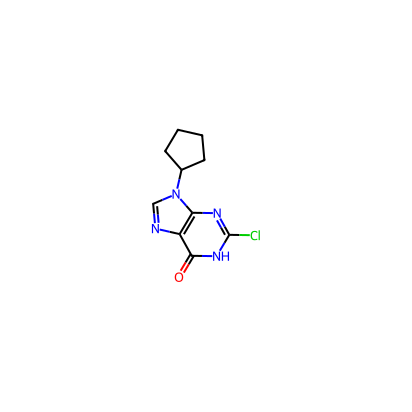 O=c1[nH]c(Cl)nc2c1ncn2C1CCCC1